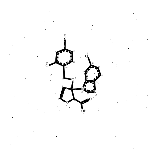 O=C(O)C1SC=CC1(OCc1ccc(F)cc1Cl)n1cnc2ccc(Cl)cc21